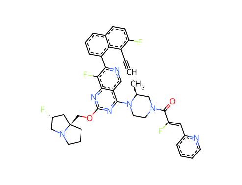 C#Cc1c(F)ccc2cccc(-c3ncc4c(N5CCN(C(=O)/C(F)=C/c6ccccn6)C[C@@H]5C)nc(OC[C@@]56CCCN5C[C@H](F)C6)nc4c3F)c12